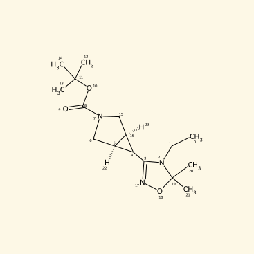 CCN1C(C2[C@H]3CN(C(=O)OC(C)(C)C)C[C@@H]23)=NOC1(C)C